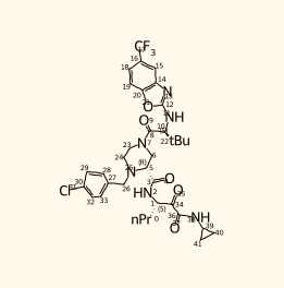 CCC[C@H](NC(=O)[C@H]1CN(C(=O)[C@@H](Nc2nc3cc(C(F)(F)F)ccc3o2)C(C)(C)C)CCN1Cc1ccc(Cl)cc1)C(=O)C(=O)NC1CC1